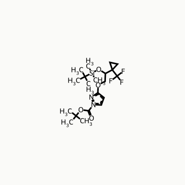 CC(C)(C)OC(=O)n1ccc(OCC(O[Si](C)(C)C(C)(C)C)C2(C(F)(F)F)CC2)n1